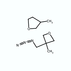 CC1(CN=[N+]=[N-])COC1.CC1CCOC1